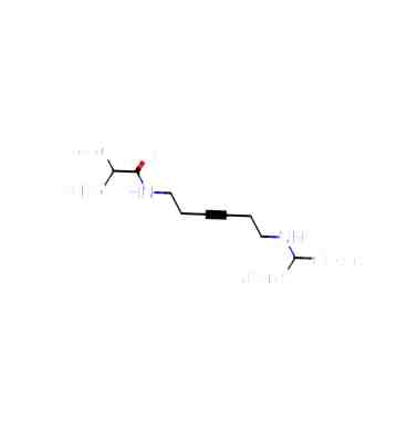 CCCCCCCC(CCCCCC)C(=O)NCCC#CCCNC(CCCCC)CCCCC